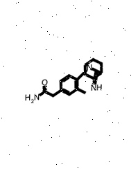 Cc1cc(CC(N)=O)ccc1N1C(=N)C2CCC1CC2